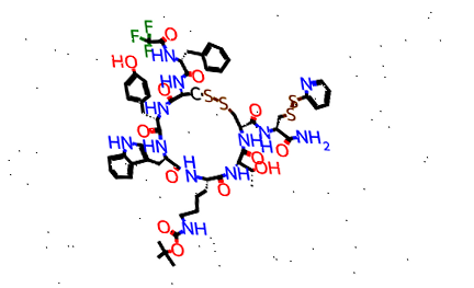 C[C@@H](O)[C@@H]1NC(=O)[C@H](CCCCNC(=O)OC(C)(C)C)NC(=O)[C@@H](Cc2c[nH]c3ccccc23)NC(=O)[C@H](Cc2ccc(O)cc2)NC(=O)[C@@H](NC(=O)[C@@H](Cc2ccccc2)NC(=O)C(F)(F)F)CSSC[C@@H](C(=O)N[C@@H](CSSc2ccccn2)C(N)=O)NC1=O